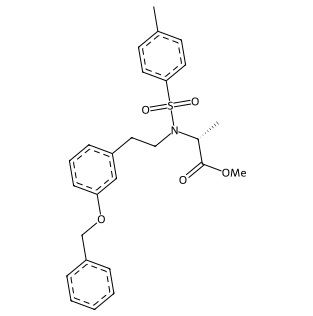 COC(=O)[C@@H](C)N(CCc1cccc(OCc2ccccc2)c1)S(=O)(=O)c1ccc(C)cc1